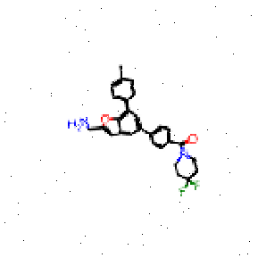 Cc1ccc(-c2cc(-c3ccc(C(=O)N4CCC(F)(F)CC4)cc3)cc3cc(CN)oc23)cc1